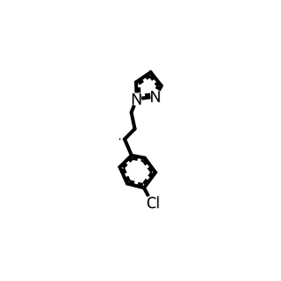 Clc1ccc([CH]CCn2cccn2)cc1